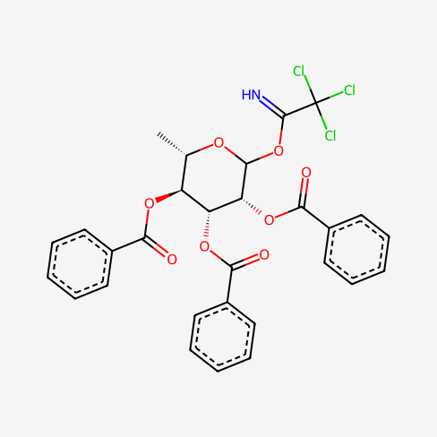 C[C@@H]1OC(OC(=N)C(Cl)(Cl)Cl)[C@H](OC(=O)c2ccccc2)[C@H](OC(=O)c2ccccc2)[C@H]1OC(=O)c1ccccc1